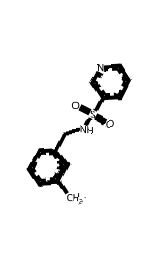 [CH2]c1cccc(CNS(=O)(=O)c2cccnc2)c1